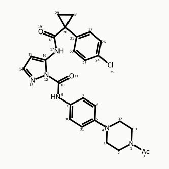 CC(=O)N1CCN(c2ccc(NC(=O)n3nccc3NC(=O)C3(c4ccc(Cl)cc4)CC3)cc2)CC1